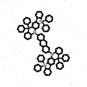 c1ccc(C2(c3ccccc3)c3ccccc3N(c3ccc4cc5cc(N6c7ccccc7C(c7ccccc7)(c7ccccc7)c7cc8c(cc76)[Si](c6ccccc6)(c6ccccc6)c6ccccc6-8)ccc5cc4c3)c3cc4c(cc32)-c2ccccc2[Si]4(c2ccccc2)c2ccccc2)cc1